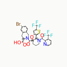 CCC[C@H]1N(C(=O)c2ncccc2C(F)(F)F)CCC[C@]1(Oc1csc(C(F)(F)F)c1)C(=O)N1Cc2ccc(Br)cc2C[C@@H]1C(=O)O